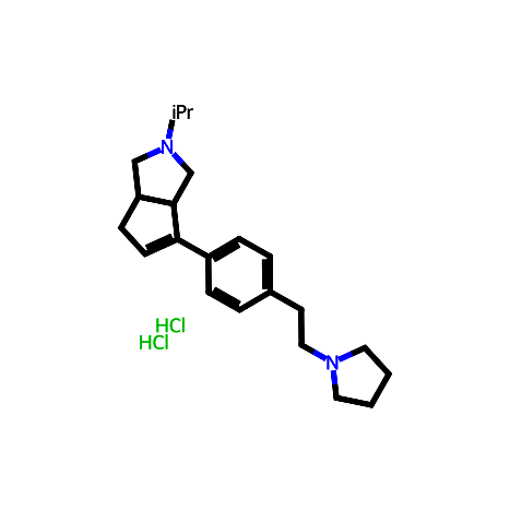 CC(C)N1CC2CC=C(c3ccc(CCN4CCCC4)cc3)C2C1.Cl.Cl